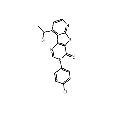 CC(O)c1ccnc2sc3c(=O)n(-c4ccc(Cl)cc4)cnc3c12